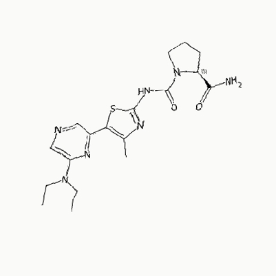 CCN(CC)c1cncc(-c2sc(NC(=O)N3CCC[C@H]3C(N)=O)nc2C)n1